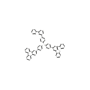 c1ccc2c(c1)oc1c(-c3ccc(N(c4ccc(-c5ccc6c7ccccc7c7ccccc7c6c5)cc4)c4ccc(-c5cc6c7ccccc7n7c8ccccc8c(c5)c67)cc4)cc3)cccc12